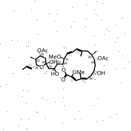 C/C=C/[C@H]1O[C@@](O)([C@@H](C)[C@H](O)[C@H](C)[C@H]2OC(=O)/C(OC)=C/C(C)=C/[C@@H](C)[C@@H](O)C[C@@H](OC(C)=O)[C@H](C)C/C(C)=C/C=C/[C@@H]2OC)C[C@@H](OC(C)=O)[C@@H]1C